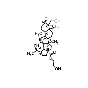 C=C(C)[C@@H]1CC[C@]2(C(=O)OCCO)CC[C@]3(C)C(CCC4[C@@]5(C)CC[C@H](O)[C@@](C)(CO)[C@@H]5CC[C@]43C)C12